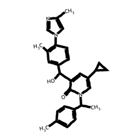 Cc1ccc(C(C)n2cc(C3CC3)cc(C(O)c3ccc(-n4cnc(C)c4)c(C)c3)c2=O)cc1